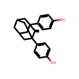 C=C1C2(c3ccc(O)cc3)CC3CC(C2)CC1(c1ccc(O)cc1)C3